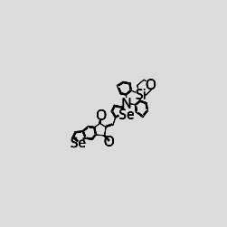 O=C1/C(=C\c2ccc(N3c4ccccc4[Si]4(CCOCC4)c4ccccc43)[se]2)C(=O)c2cc3[se]ccc3cc21